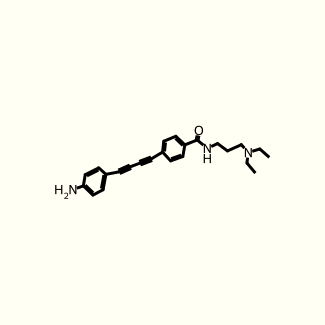 CCN(CC)CCCNC(=O)c1ccc(C#CC#Cc2ccc(N)cc2)cc1